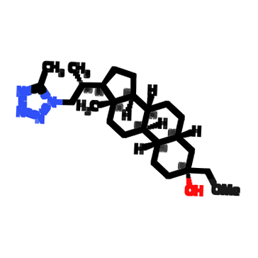 COC[C@@]1(O)CC[C@H]2[C@H](CC[C@@H]3[C@@H]2CC[C@]2(C)[C@@H]([C@@H](C)Cn4nnnc4C)CC[C@@H]32)C1